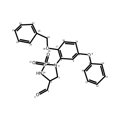 O=CC1CN(c2cc(Oc3ccccc3)ccc2OCc2ccccc2)S(=O)(=O)N1